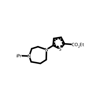 CCOC(=O)c1ccc(N2CCCN(C(C)C)CC2)s1